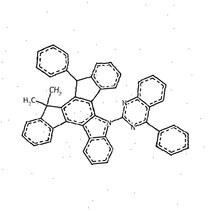 CC1(C)c2ccccc2-c2c1c1c(c3c2c2ccccc2n3-c2nc(-c3ccccc3)c3ccccc3n2)-c2ccccc2C1c1ccccc1